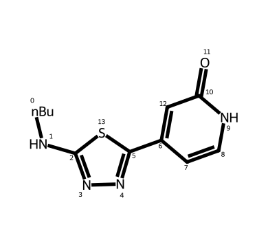 CCCCNc1nnc(-c2cc[nH]c(=O)c2)s1